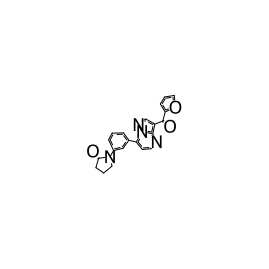 O=C(c1ccco1)c1cnn2c(-c3cccc(N4CCCC4=O)c3)ccnc12